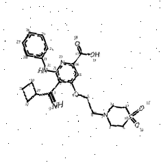 N=C(c1c(OCCN2CCS(=O)(=O)CC2)cc(C(=O)O)nc1Nc1ccccc1)C1CCC1